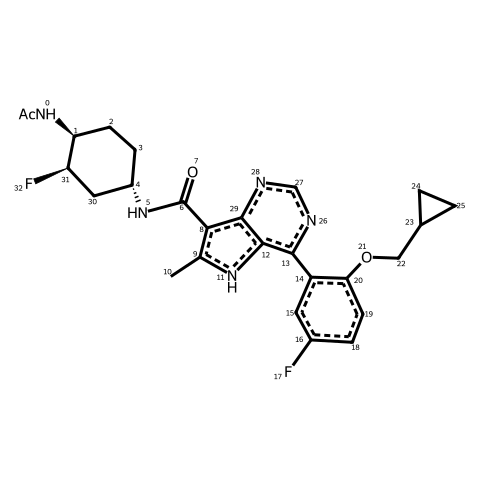 CC(=O)N[C@H]1CC[C@H](NC(=O)c2c(C)[nH]c3c(-c4cc(F)ccc4OCC4CC4)ncnc23)C[C@H]1F